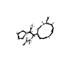 CNNC(C1CCC/C=C\CC(C)OC1)C(O)N1CCCC1